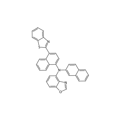 c1ccc2cc(N(c3ccc(-c4nc5ccccc5s4)c4ccccc34)c3cccc4ocnc34)ccc2c1